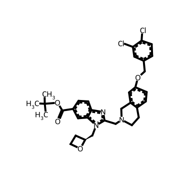 CC(C)(C)OC(=O)c1ccc2nc(CN3CCc4ccc(OCc5ccc(Cl)c(Cl)c5)cc4C3)n(C[C@@H]3CCO3)c2c1